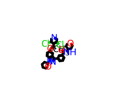 C[C@@H](Oc1ccc2c(c1)c(-c1cccc(C(=O)NC3CCOCC3)c1)nn2C1CCCCO1)c1c(Cl)cncc1Cl